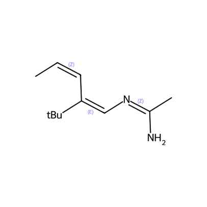 C\C=C/C(=C\N=C(\C)N)C(C)(C)C